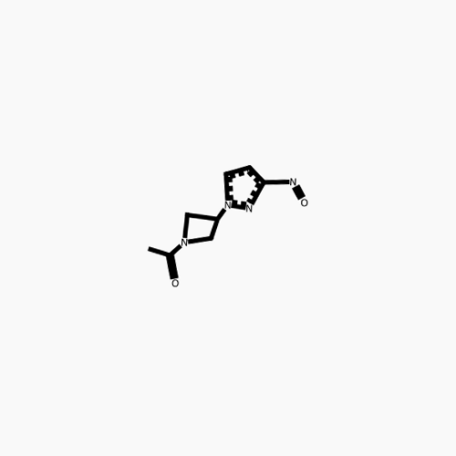 CC(=O)N1CC(n2ccc(N=O)n2)C1